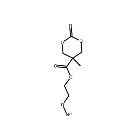 CCCOCCOC(=O)C1(C)COC(=O)OC1